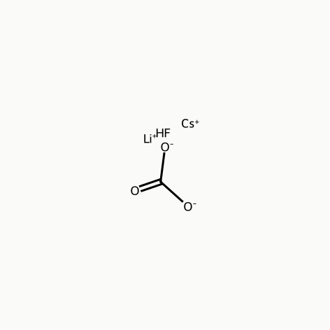 F.O=C([O-])[O-].[Cs+].[Li+]